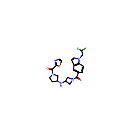 O=C(c1ccc2c(ccn2CC(F)F)c1)N1CC(N[C@H]2CCN(C(=O)c3nccs3)C2)C1